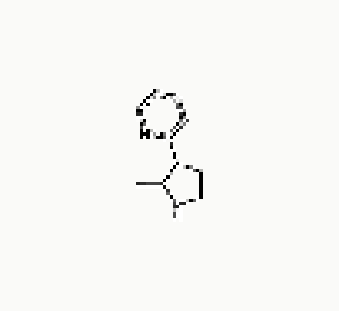 CC1NCCC1c1ccccn1